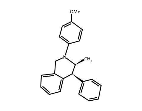 COc1ccc(N2Cc3ccccc3[C@H](c3ccccc3)[C@@H]2C)cc1